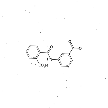 [O]C(=O)c1cccc(NC(=O)c2ccccc2C(=O)O)c1